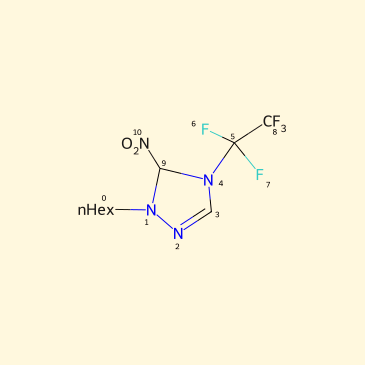 CCCCCCN1N=CN(C(F)(F)C(F)(F)F)C1[N+](=O)[O-]